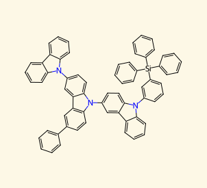 c1ccc(-c2ccc3c(c2)c2cc(-n4c5ccccc5c5ccccc54)ccc2n3-c2ccc3c(c2)c2ccccc2n3-c2cccc([Si](c3ccccc3)(c3ccccc3)c3ccccc3)c2)cc1